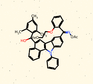 COCCOc1ccccc1/C(=N/OC(C)=O)c1ccc2c(c1)c1cc(C(O)c3c(C)cc(C)cc3C)c3ccccc3c1n2-c1ccccc1